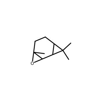 CC12CCC3C(C1O2)C3(C)C